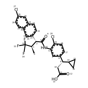 C[C@H]([C@@H](C(=O)Nc1cc([C@@H](CC(=O)O)C2CC2)ccc1Cl)c1ccc2cc(Cl)ccc2c1)C(F)(F)F